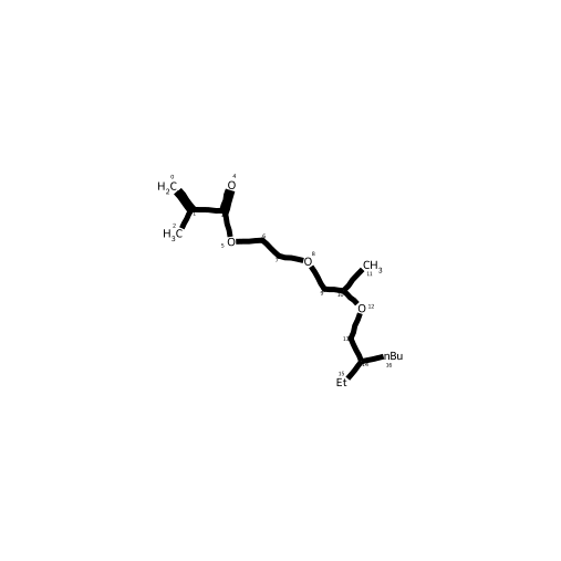 C=C(C)C(=O)OCCOCC(C)OCC(CC)CCCC